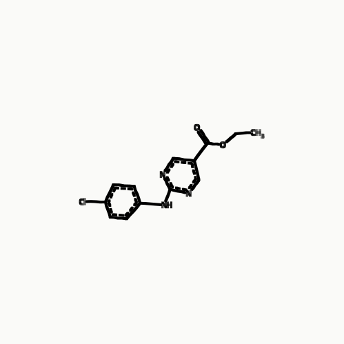 CCOC(=O)c1cnc(Nc2ccc(Cl)cc2)nc1